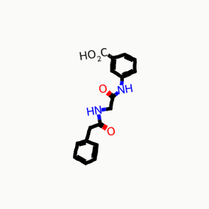 O=C(Cc1ccccc1)NCC(=O)Nc1cccc(C(=O)O)c1